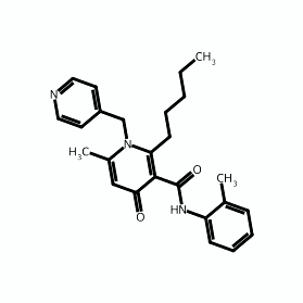 CCCCCc1c(C(=O)Nc2ccccc2C)c(=O)cc(C)n1Cc1ccncc1